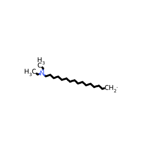 [CH2]CCCCCCCCCCCCCCCN(CC)CC